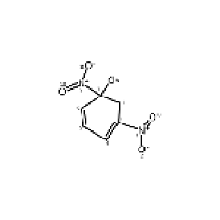 O=[N+]([O-])C1=CC=CC(Cl)([N+](=O)[O-])C1